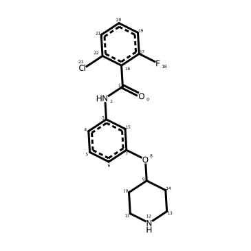 O=C(Nc1cccc(OC2CCNCC2)c1)c1c(F)cccc1Cl